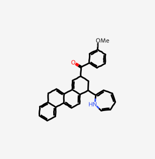 COc1cccc(C(=O)C2C=c3c(ccc4c3=CCc3ccccc3-4)C(C3=CC=CC=CN3)C2)c1